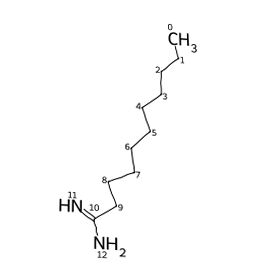 CCCCCCCCCCC(=N)N